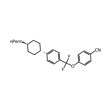 CCCCC[C@H]1CC[C@H](c2ccc(C(F)(F)Oc3ccc(C#N)cc3)cc2)CC1